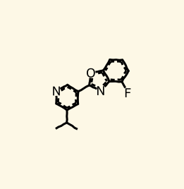 CC(C)c1cncc(-c2nc3c(F)cccc3o2)c1